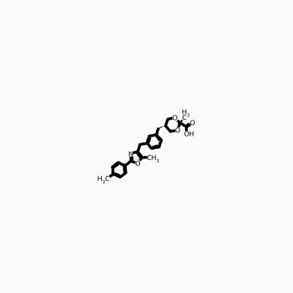 Cc1ccc(-c2nc(Cc3cccc(C[C@H]4CO[C@@](C)(C(=O)O)OC4)c3)c(C)o2)cc1